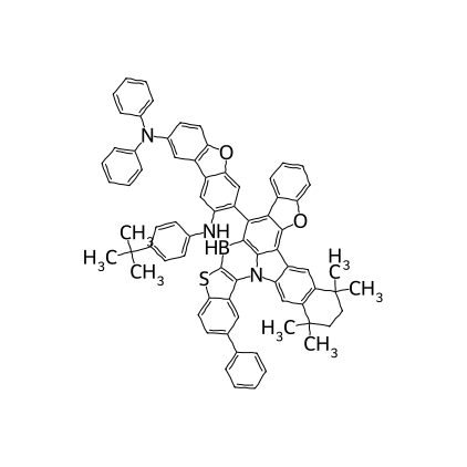 CC(C)(C)c1ccc(Nc2cc3c(cc2-c2c4c5c(c6cc7c(cc6n5-c5c(sc6ccc(-c8ccccc8)cc56)B4)C(C)(C)CCC7(C)C)c4oc5ccccc5c24)oc2ccc(N(c4ccccc4)c4ccccc4)cc23)cc1